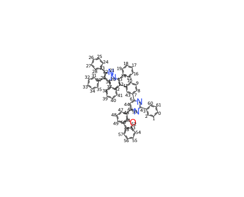 c1ccc(-c2nc(-c3cccc(-c4c(-c5ccccc5)n5nc(-c6ccccc6)c(-c6ccccc6)c5c5ccccc45)c3)cc(-c3cccc4c3oc3ccccc34)n2)cc1